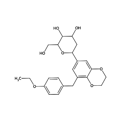 CCOc1ccc(Cc2cc(C3CC(O)C(O)C(CO)O3)cc3c2OCCO3)cc1